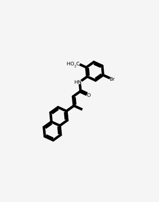 C/C(=C\C(=O)Nc1cc(Br)ccc1C(=O)O)c1ccc2ccccc2c1